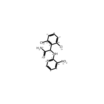 NC(=O)C(Nc1ncccc1[N+](=O)[O-])c1c(Cl)cccc1Cl